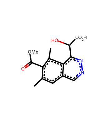 COC(=O)c1c(C)cc2cnnc(C(O)C(=O)O)c2c1C